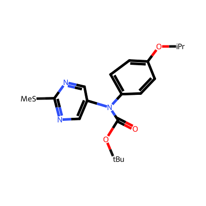 CSc1ncc(N(C(=O)OC(C)(C)C)c2ccc(OC(C)C)cc2)cn1